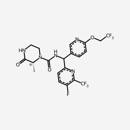 C[C@@H]1C(=O)NCCN1C(=O)NC(c1ccc(OCC(F)(F)F)nc1)c1ccc(F)c(C(F)(F)F)n1